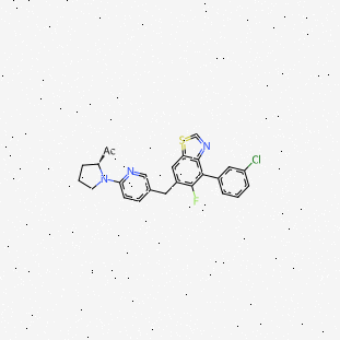 CC(=O)[C@@H]1CCCN1c1ccc(Cc2cc3scnc3c(-c3cccc(Cl)c3)c2F)cn1